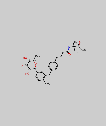 CNC(=O)C(C)(C)NC(=O)CCCc1ccc(Cc2cc([C@@H]3O[C@H](SC)[C@@H](O)[C@H](O)[C@H]3O)ccc2C)cc1